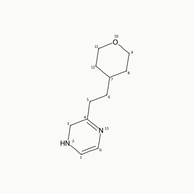 C1=CNCC(CCC2CCOCC2)=N1